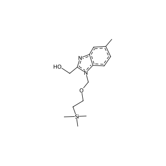 Cc1ccc2c(c1)nc(CO)n2COCC[Si](C)(C)C